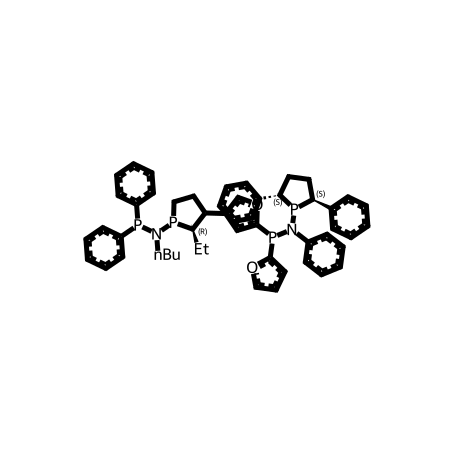 CCCCN(P(c1ccccc1)c1ccccc1)P1CCC(c2coc(P(c3ccco3)N(c3ccccc3)P3[C@H](c4ccccc4)CC[C@H]3c3ccccc3)c2)[C@H]1CC